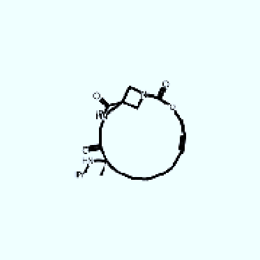 CC(C)N[C@@]1(C)CCCCCC=CCOC(=O)N2CC(C(=O)C(C)C)(C2)NCC1=O